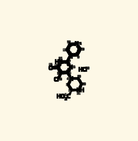 Cl.O=C(O)[C@@H]1CN(c2nc(-c3ccncc3)[nH]c(=O)c2Cl)CCN1